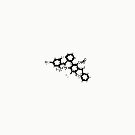 Cc1cc(C)c(C(=O)c2ccccc2-c2c(C)c(C)c(C)c(C(=O)c3ccccc3)c2OP=O)c(C)c1